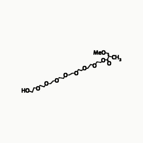 COC=C(C)C(=O)OCCOCCOCCOCCOCCOCCOCCOCCO